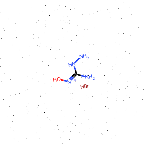 Br.NN/C(N)=N\O